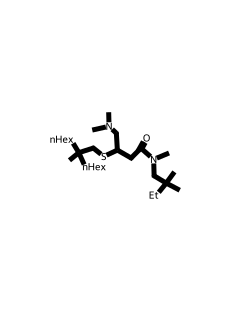 CCCCCCC(C)(CCCCCC)CSC(CC(=O)N(C)CC(C)(C)CC)CN(C)C